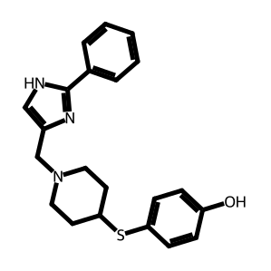 Oc1ccc(SC2CCN(Cc3c[nH]c(-c4ccccc4)n3)CC2)cc1